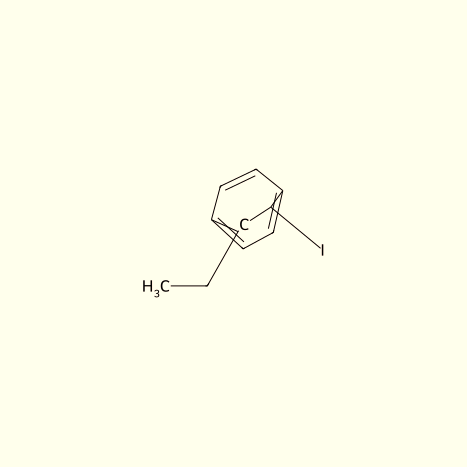 CCC1CC(I)c2ccc1cc2